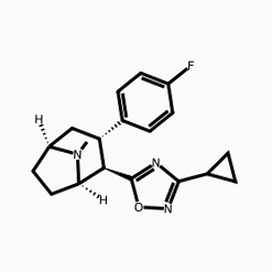 CN1[C@H]2CC[C@@H]1[C@H](c1nc(C3CC3)no1)[C@@H](c1ccc(F)cc1)C2